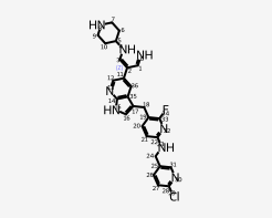 N=C/C(=C\NC1CCNCC1)c1cnc2[nH]cc(Cc3ccc(NCc4ccc(Cl)nc4)nc3F)c2c1